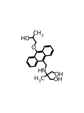 CC(O)COc1c2ccccc2c(CNC(C)(CO)CO)c2ccccc12